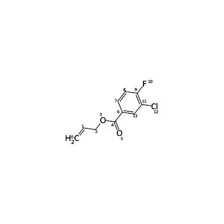 C=CCOC(=O)c1ccc(F)c(Cl)c1